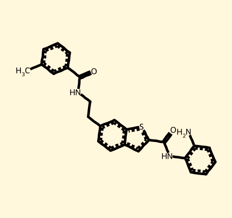 Cc1cccc(C(=O)NCCc2ccc3cc(C(=O)Nc4ccccc4N)sc3c2)c1